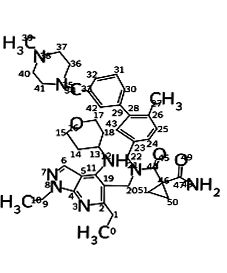 CCc1nc2c(cnn2CC)c(NC2CCOCC2)c1CN(Cc1ccc(C)c(-c2cccc(CN3CCN(C)CC3)c2)c1)C(=O)C1(C(N)=O)CC1